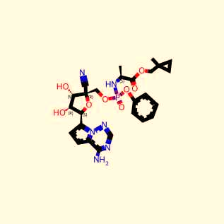 C[C@H](NP(=O)(OC[C@@]1(C#N)O[C@@H](c2ccc3c(N)ncnn23)[C@H](O)[C@@H]1O)Oc1ccccc1)C(=O)OCC1(C)CC1